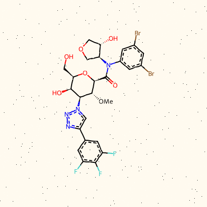 CO[C@@H]1[C@@H](n2cc(-c3cc(F)c(F)c(F)c3)nn2)[C@@H](O)[C@@H](CO)O[C@H]1C(=O)N(c1cc(Br)cc(Br)c1)[C@H]1COC[C@@H]1O